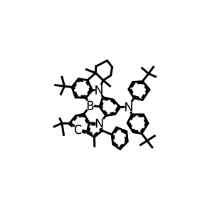 Cc1c(-c2ccccc2)n2c3c(cc(C(C)(C)C)cc13)B1c3cc(C(C)(C)C)cc4c3N(c3cc(N(c5ccc(C(C)(C)C)cc5)c5ccc(C(C)(C)C)cc5)cc-2c31)C1(C)CCCCC41C